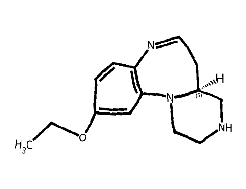 CCOc1ccc2c(c1)N1CCNC[C@@H]1CC=N2